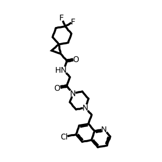 O=C(NCC(=O)N1CCN(Cc2cc(Cl)cc3cccnc23)CC1)C1CC12CCC(F)(F)CC2